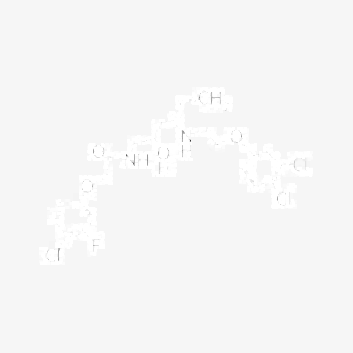 C=CC(CC(O)CNC(=O)COc1ccc(Cl)c(F)c1)NCCOc1ccc(Cl)c(Cl)c1